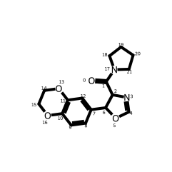 O=C(C1N=COC1c1ccc2c(c1)OCCO2)N1CCCC1